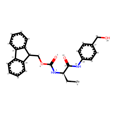 CC(C)C[C@@H](NC(=O)OCC1c2ccccc2-c2ccccc21)C(=O)Nc1ccc(CO)cc1